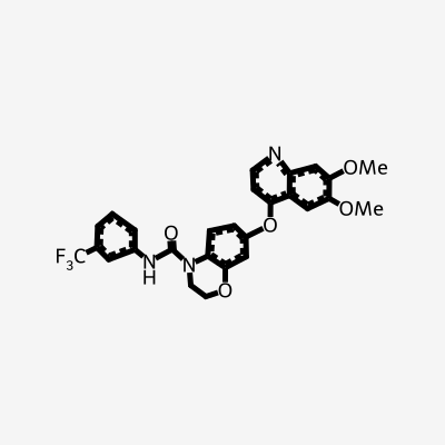 COc1cc2nccc(Oc3ccc4c(c3)OCCN4C(=O)Nc3cccc(C(F)(F)F)c3)c2cc1OC